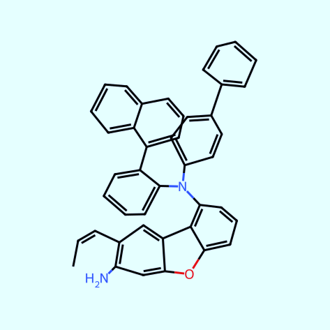 C/C=C\c1cc2c(cc1N)oc1cccc(N(c3ccc(-c4ccccc4)cc3)c3ccccc3-c3cccc4ccccc34)c12